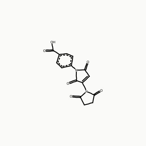 O=C(O)c1ccc(N2C(=O)C=C(N3C(=O)CCC3=O)C2=O)cc1